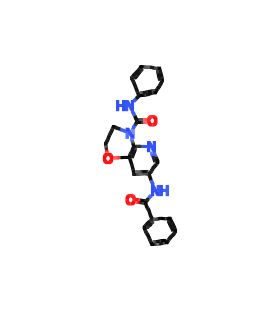 O=C(Nc1cnc2c(c1)OCCN2C(=O)Nc1ccccc1)c1ccccc1